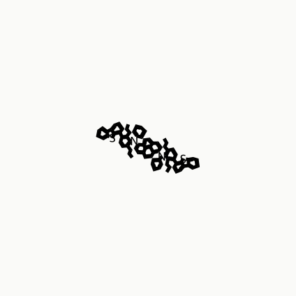 CCCc1ccc(-c2cccc3c2sc2ccccc23)c(CCC)c1N(c1ccccc1)c1ccc2ccc3c(N(c4ccccc4)c4c(CCC)ccc(-c5cccc6c5sc5ccccc56)c4CCC)ccc4ccc1c2c43